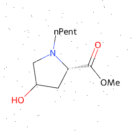 CCCCCN1CC(O)C[C@H]1C(=O)OC